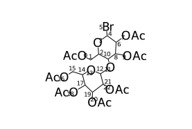 CC(=O)OCC1OC(Br)C(OC(C)=O)C(OC(C)=O)C1OC1OC(COC(C)=O)C(OC(C)=O)C(OC(C)=O)C1OC(C)=O